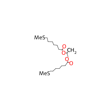 C=C(COC(=O)CCCCCCSC)OC(=O)CCCCCCSC